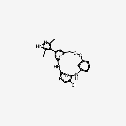 Cc1n[nH]c(C)c1-c1cc2cc(c1)Nc1ncc(Cl)c(n1)Nc1cccc(c1)OCC2